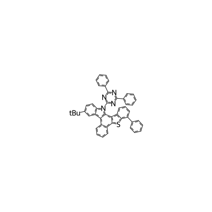 CC(C)(C)c1ccc2c(c1)c1c3ccccc3c3sc4c(-c5ccccc5)cccc4c3c1n2-c1nc(-c2ccccc2)nc(-c2ccccc2)n1